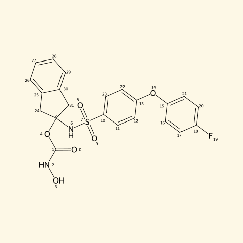 O=C(NO)OC1(NS(=O)(=O)c2ccc(Oc3ccc(F)cc3)cc2)Cc2ccccc2C1